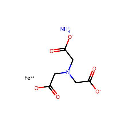 O=C([O-])CN(CC(=O)[O-])CC(=O)[O-].[Fe+2].[NH4+]